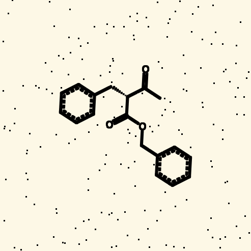 CC(=O)[C@@H](Cc1ccccc1)C(=O)OCc1ccccc1